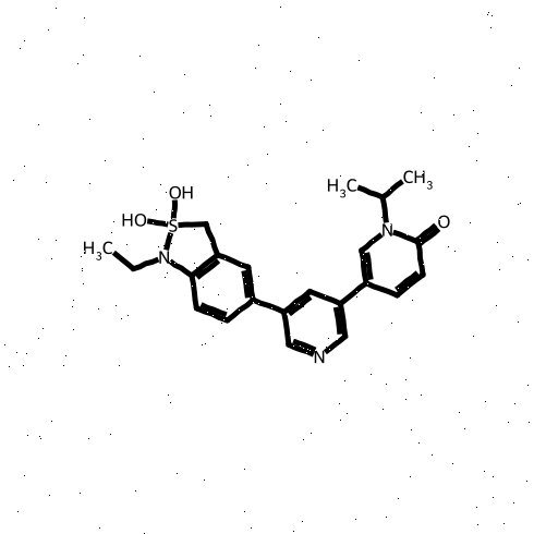 CCN1c2ccc(-c3cncc(-c4ccc(=O)n(C(C)C)c4)c3)cc2CS1(O)O